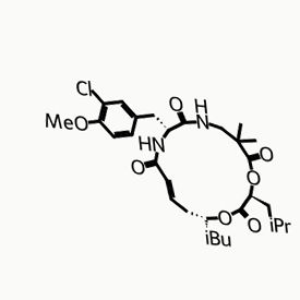 CC[C@@H](C)[C@@H]1C/C=C/C(=O)N[C@H](Cc2ccc(OC)c(Cl)c2)C(=O)NCC(C)(C)C(=O)O[C@@H](CC(C)C)C(=O)O1